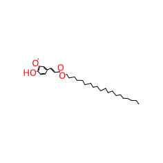 CCCCCCCCCCCCCCCCCCCCOC(=O)C=Cc1ccc(O)c(OC)c1